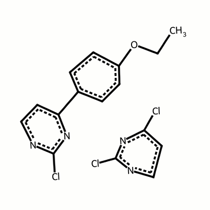 CCOc1ccc(-c2ccnc(Cl)n2)cc1.Clc1ccnc(Cl)n1